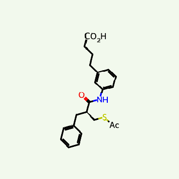 CC(=O)SC[C@@H](Cc1ccccc1)C(=O)Nc1cccc(CCCC(=O)O)c1